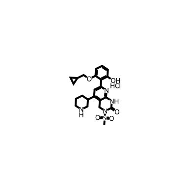 CS(=O)(=O)N1Cc2c(C3CCCNC3)cc(-c3c(O)cccc3OCC3CC3)nc2NC1=O.Cl